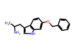 CC(N)Cc1c[nH]c2cc(OCc3ccccc3)ccc12